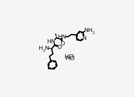 C[C@H](NC(=O)[C@H](N)CCc1ccccc1)C(=O)NCCc1ccnc(N)c1.Cl.Cl